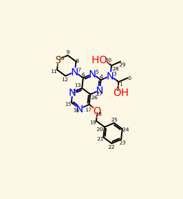 CC(O)N(c1nc(N2CCSCC2)c2ncnc(OCc3ccccc3)c2n1)C(C)O